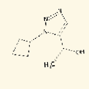 C[C@@H](O)c1cnnn1C1CCC1